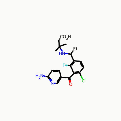 CCC(NC(C)(C)CC(=O)O)c1ccc(Cl)c(C(=O)c2ccc(N)nc2)c1F